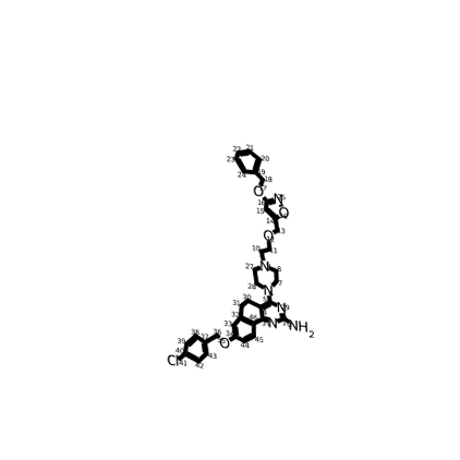 Nc1nc2c(c(N3CCN(CCOCc4cc(OCc5ccccc5)no4)CC3)n1)CCc1cc(OCc3ccc(Cl)cc3)ccc1-2